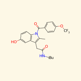 CCC(C)NC(=O)Cc1c(C)n(C(=O)c2ccc(OC(F)(F)F)cc2)c2ccc(O)cc12